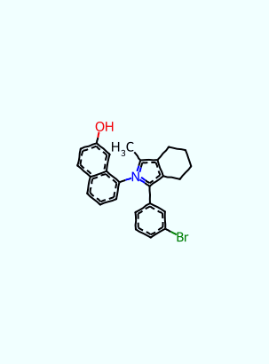 Cc1c2c(c(-c3cccc(Br)c3)n1-c1cccc3ccc(O)cc13)CCCC2